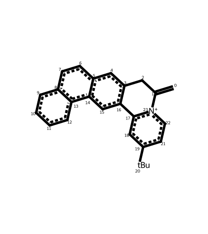 C=C1Cc2cc3ccc4ccccc4c3cc2-c2cc(C(C)(C)C)cc[n+]21